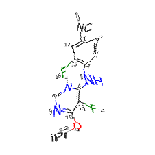 [C-]#[N+]c1ccc(Nc2ncnc(OC(C)C)c2F)c(F)c1